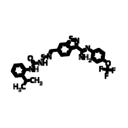 CC(C)c1ccccc1NC(=O)NS/N=C/c1ccc2c(/C(N)=N/c3ccc(OC(F)(F)F)cc3)nsc2c1